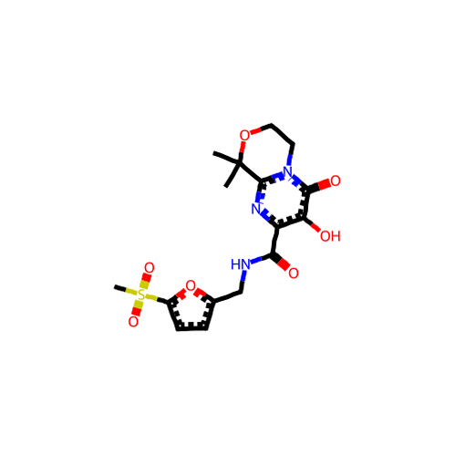 CC1(C)OCCn2c1nc(C(=O)NCc1ccc(S(C)(=O)=O)o1)c(O)c2=O